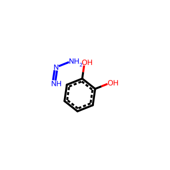 N=NN.Oc1ccccc1O